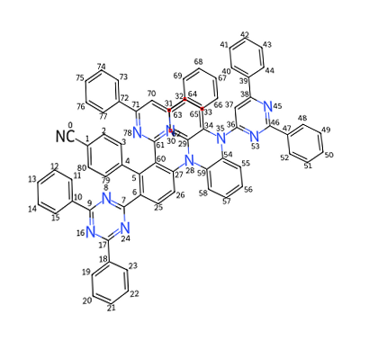 N#Cc1ccc(-c2c(-c3nc(-c4ccccc4)nc(-c4ccccc4)n3)ccc(N3c4ccccc4N(c4cc(-c5ccccc5)nc(-c5ccccc5)n4)c4ccccc43)c2-c2nc(-c3ccccc3)cc(-c3ccccc3)n2)cc1